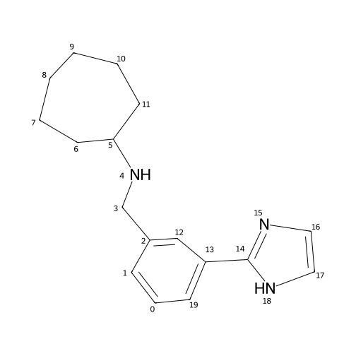 c1cc(CNC2CCCCCC2)cc(-c2ncc[nH]2)c1